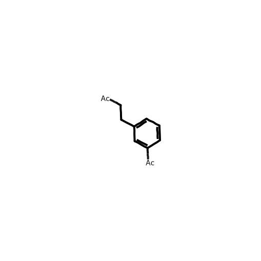 CC(=O)CCc1cccc(C(C)=O)c1